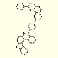 c1ccc(-c2ccc3ccc4ccc(-c5ccc(-c6nc7ccc8oc9ccccc9c8c7c7ccccc67)cc5)nc4c3n2)cc1